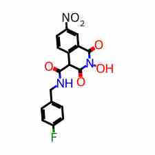 O=C(NCc1ccc(F)cc1)C1C(=O)N(O)C(=O)c2cc([N+](=O)[O-])ccc21